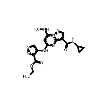 CCOC(=O)c1nscc1Nc1cc(NC)n2ncc(C(=O)NC3CC3)c2n1